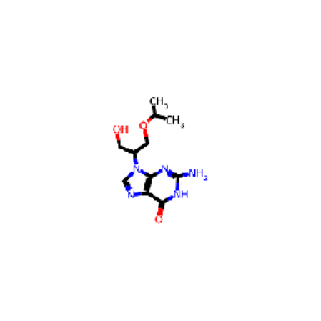 CC(C)OCC(CO)n1cnc2c(=O)[nH]c(N)nc21